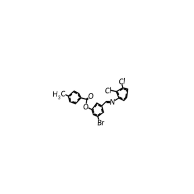 Cc1ccc(C(=O)Oc2cc(Br)cc(C=Nc3cccc(Cl)c3Cl)c2)cc1